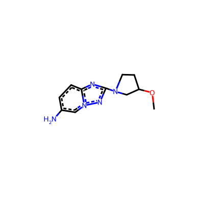 COC1CCN(c2nc3ccc(N)cn3n2)C1